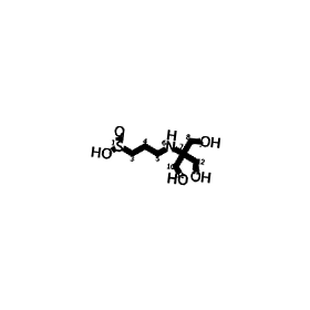 O=S(O)CCCNC(CO)(CO)CO